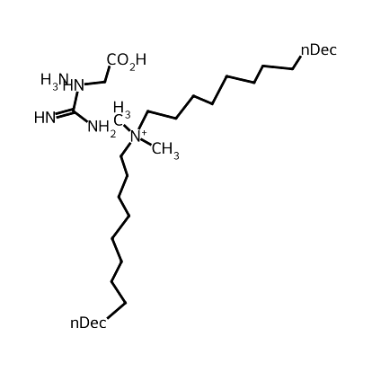 CCCCCCCCCCCCCCCCCC[N+](C)(C)CCCCCCCCCCCCCCCCCC.N.N=C(N)NCC(=O)O